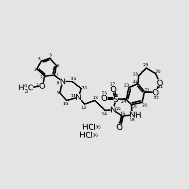 COc1ccccc1N1CCN(CCCN2C(=O)Nc3cc4c(cc3S2(=O)=O)CCCOO4)CC1.Cl.Cl